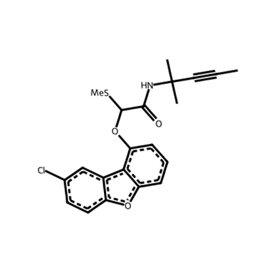 CC#CC(C)(C)NC(=O)C(Oc1cccc2oc3ccc(Cl)cc3c12)SC